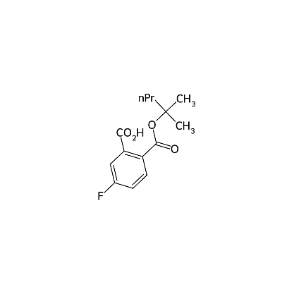 CCCC(C)(C)OC(=O)c1ccc(F)cc1C(=O)O